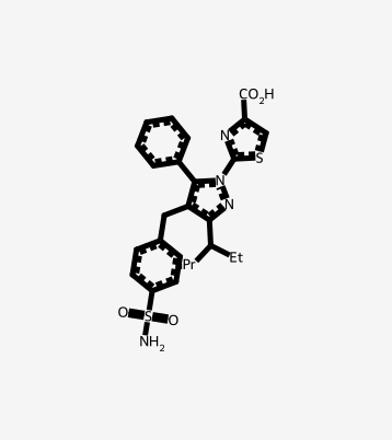 CCCC(CC)c1nn(-c2nc(C(=O)O)cs2)c(-c2ccccc2)c1Cc1ccc(S(N)(=O)=O)cc1